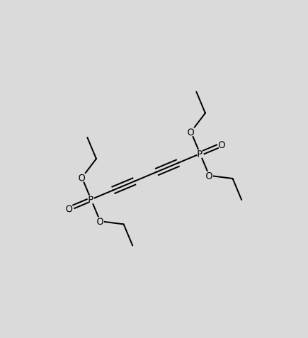 CCOP(=O)(C#CC#CP(=O)(OCC)OCC)OCC